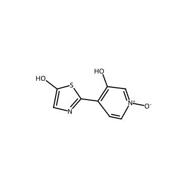 [O-][n+]1ccc(-c2ncc(O)s2)c(O)c1